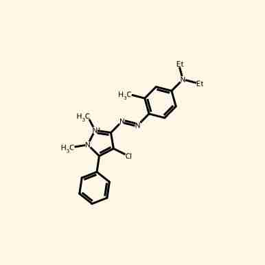 CCN(CC)c1ccc(N=Nc2c(Cl)c(-c3ccccc3)n(C)[n+]2C)c(C)c1